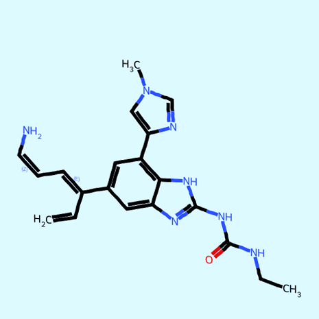 C=C/C(=C\C=C/N)c1cc(-c2cn(C)cn2)c2[nH]c(NC(=O)NCC)nc2c1